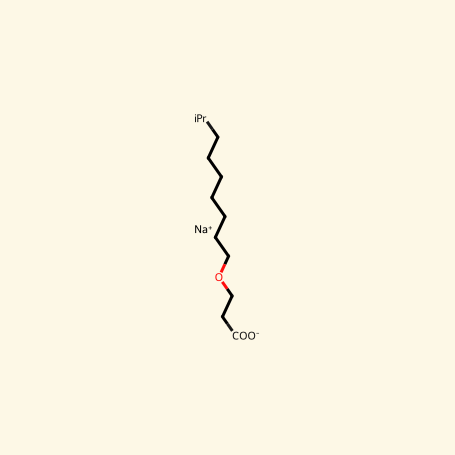 CC(C)CCCCCCCOCCC(=O)[O-].[Na+]